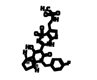 CS(=O)(=O)NCc1csc2c1S(=O)(=O)N=C(C1=C(O)C3C([C@@H]4CC[C@H]3C4)N(Cc3ccc(F)cc3)C1=O)N2